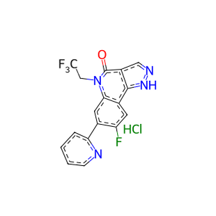 Cl.O=c1c2cn[nH]c2c2cc(F)c(-c3ccccn3)cc2n1CC(F)(F)F